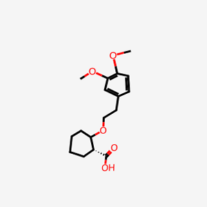 COc1ccc(CCOC2CCCC[C@H]2C(=O)O)cc1OC